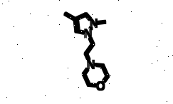 CC1=CN(CCN2CCOCC2)N(C)C1